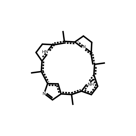 Cc1c2cc(c(C)c3ccc([nH]3)c(C)c3nc(c(C)c4[nH]c1CC4)CC3)C=N2